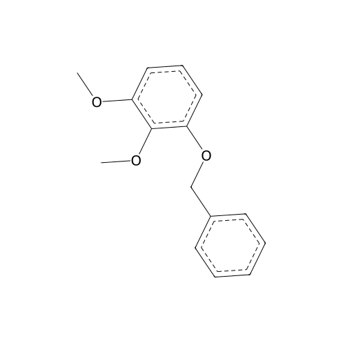 COc1cccc(OCc2ccccc2)c1OC